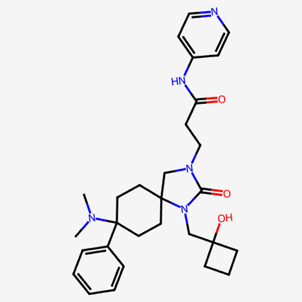 CN(C)C1(c2ccccc2)CCC2(CC1)CN(CCC(=O)Nc1ccncc1)C(=O)N2CC1(O)CCC1